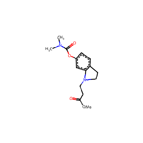 COC(=O)CCN1CCc2ccc(OC(=O)N(C)C)cc21